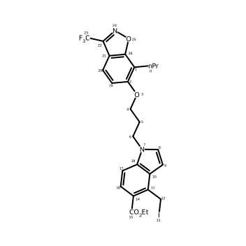 CCCc1c(OCCCn2ccc3c(CI)c(C(=O)OCC)ccc32)ccc2c(C(F)(F)F)noc12